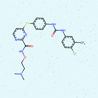 CN(C)CCONC(=O)c1nccc(Sc2ccc(NC(=O)Nc3ccc(Cl)c(C(F)(F)F)c3)cc2)n1